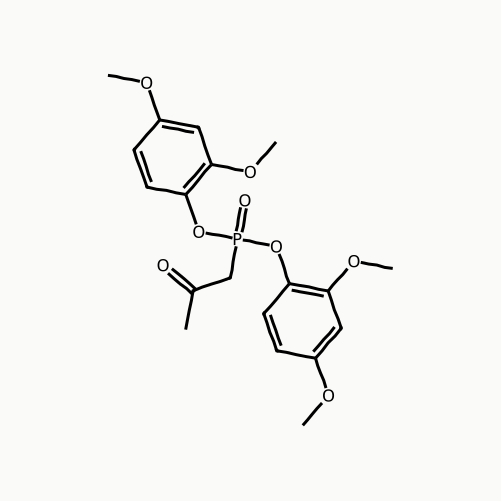 COc1ccc(OP(=O)(CC(C)=O)Oc2ccc(OC)cc2OC)c(OC)c1